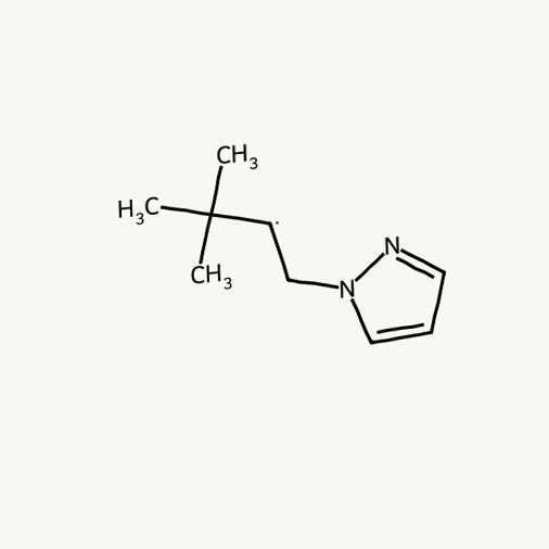 CC(C)(C)[CH]Cn1cccn1